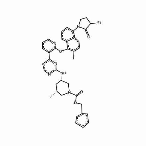 CCC1CCN(c2cccc3c(Oc4ncccc4-c4ccnc(N[C@H]5C[C@@H](C)CN(C(=O)OCc6ccccc6)C5)n4)c(C)ccc23)C1=O